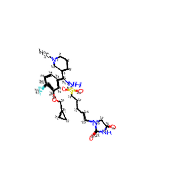 CN1CCCC([C@@H](NS(=O)(=O)CCCCCN2CC(=O)NC2=O)c2ccc(F)c(OCC3CC3)c2)C1